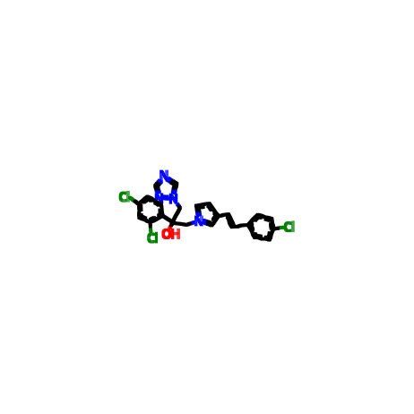 OC(Cn1ccc(C=Cc2ccc(Cl)cc2)c1)(Cn1cncn1)c1ccc(Cl)cc1Cl